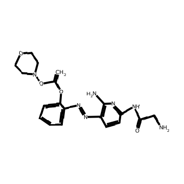 C=C(Oc1ccccc1/N=N/c1ccc(NC(=O)CN)nc1N)ON1CCOCC1